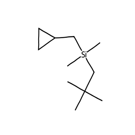 CC(C)(C)C[Si](C)(C)CC1CC1